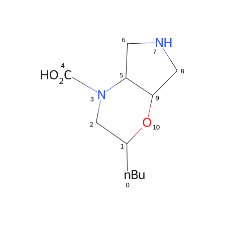 CCCCC1CN(C(=O)O)C2CNCC2O1